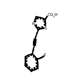 O=C(O)c1cnc(C#Cc2ccccc2F)s1